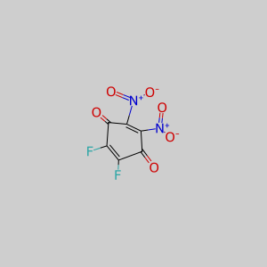 O=C1C(F)=C(F)C(=O)C([N+](=O)[O-])=C1[N+](=O)[O-]